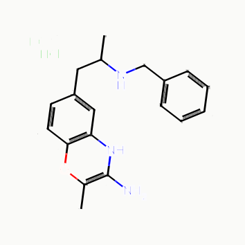 CC1=C(N)Nc2cc(CC(C)NCc3ccccc3)ccc2O1.Cl.Cl